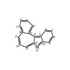 c1ccc2c3c4ccccc4nc-3cccc2c1